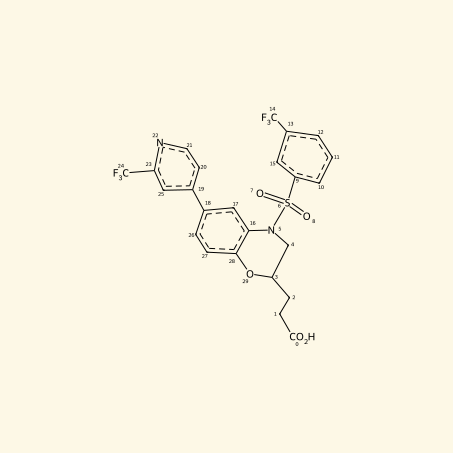 O=C(O)CCC1CN(S(=O)(=O)c2cccc(C(F)(F)F)c2)c2cc(-c3ccnc(C(F)(F)F)c3)ccc2O1